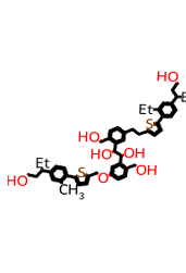 CCc1cc(C(CC)CCO)ccc1-c1ccc(CCc2ccc(CO)c(C(O)C(O)c3cc(OCc4ccc(-c5ccc(C(CC)CCO)cc5C)s4)ccc3CO)c2)s1